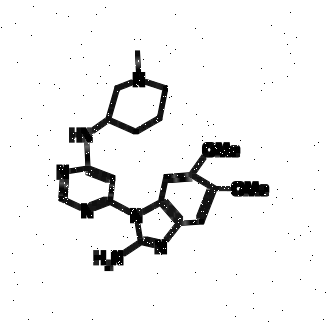 COc1cc2nc(N)n(-c3cc(NC4CCCN(C)C4)ncn3)c2cc1OC